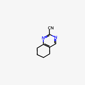 N#Cc1ncc2c(n1)CCCC2